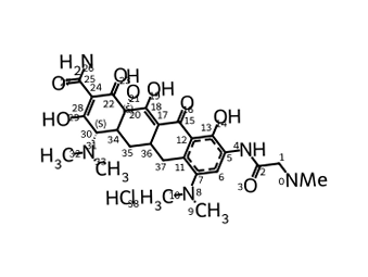 CNCC(=O)Nc1cc(N(C)C)c2c(c1O)C(=O)C1=C(O)[C@]3(O)C(=O)C(C(N)=O)=C(O)[C@@H](N(C)C)C3CC1C2.Cl